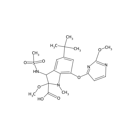 COc1nccc(Oc2cc(C(C)(C)C)cc3c2N(C)C(OC)(C(=O)O)C3NS(C)(=O)=O)n1